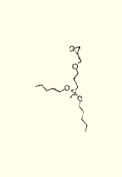 CCCCCO[Si](C)(CCCOCC1CO1)OCCCCC